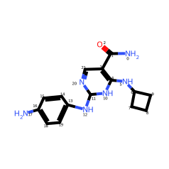 NC(=O)C1=C(NC2CCC2)NC(Nc2ccc(N)cc2)N=C1